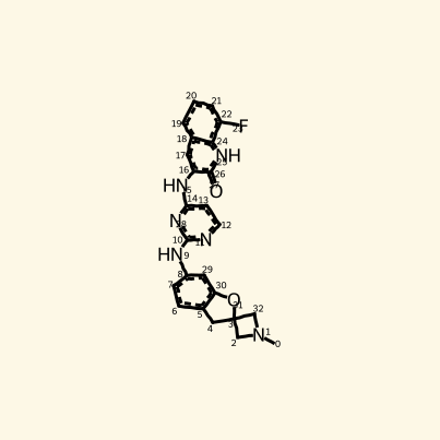 CN1CC2(Cc3ccc(Nc4nccc(Nc5cc6cccc(F)c6[nH]c5=O)n4)cc3O2)C1